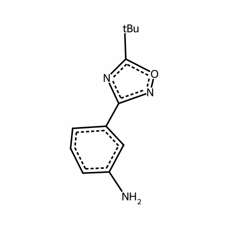 CC(C)(C)c1nc(-c2cccc(N)c2)no1